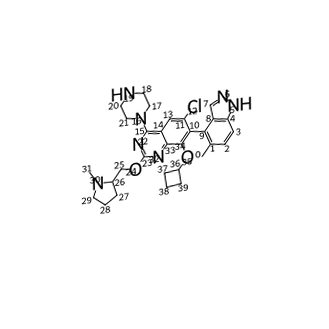 Cc1ccc2[nH]ncc2c1-c1c(Cl)cc2c(N3CCNCC3)nc(OCC3CCCN3C)nc2c1OC1CCC1